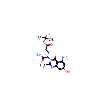 Cc1nc2cc(O)cc(N)c2c(=O)n1[C@@H](CCC(=O)OC(C)(C)C)C(N)=O